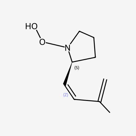 C=C(C)/C=C\[C@@H]1CCCN1OO